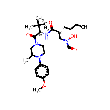 CCCC[C@H](CN(O)C=O)C(=O)N[C@H](C(=O)N1CCN(c2ccc(OC)cc2)C(C)C1)C(C)(C)C